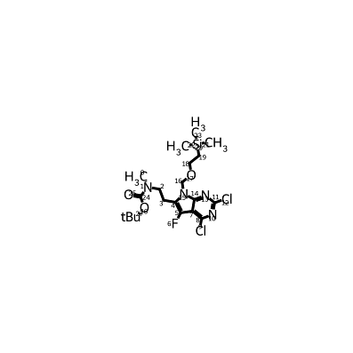 CN(CCc1c(F)c2c(Cl)nc(Cl)nc2n1COCC[Si](C)(C)C)C(=O)OC(C)(C)C